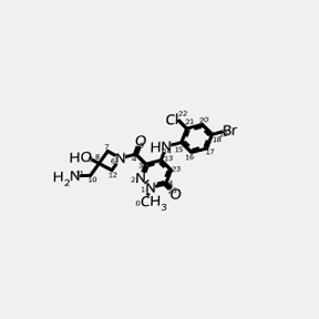 Cn1nc(C(=O)N2CC(O)(CN)C2)c(Nc2ccc(Br)cc2Cl)cc1=O